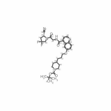 CC(C)(C)OC(=O)N1CCC(CCCOc2ccc3nccc(C(=O)NCC(=O)N4CC(F)(F)C[C@H]4C#N)c3c2)CC1